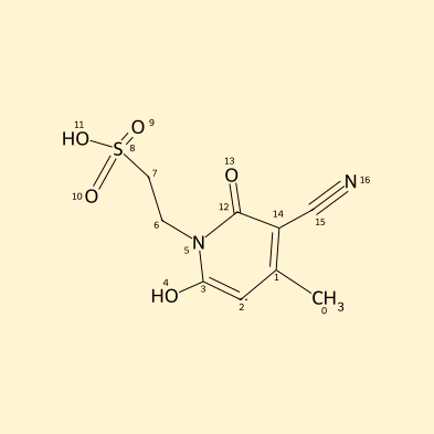 Cc1[c]c(O)n(CCS(=O)(=O)O)c(=O)c1C#N